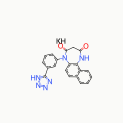 O=C1CC(=O)N(c2cccc(-c3nnn[nH]3)c2)c2ccc3ccccc3c2N1.[KH]